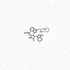 CC(=O)Nc1cccc2c1c(C1=C(c3c[nH]c4ccccc34)C(=O)NC1=O)cn2CC(O)CN1CCCCC1